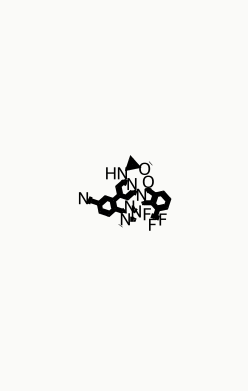 CO[C@@H]1C[C@H]1Nc1cc(-c2cc(C#N)ccc2-c2nncn2C)cc(N2Cc3c(cccc3C(F)(F)F)C2=O)n1